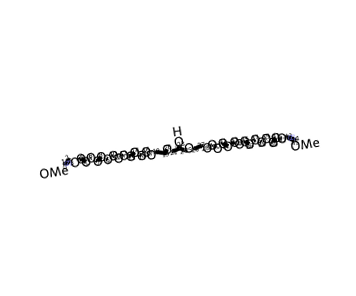 CO/C=C\OOOOOOOOOOOOOOOCCOCC(O)COCCOOOOOOOOOOOOOOO/C=C\OC